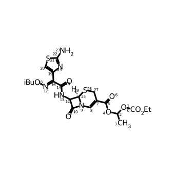 CCOC(=O)OC(C)OC(=O)C1=CN2C(=O)C(NC(=O)C(=NOCC(C)C)c3csc(N)n3)[C@H]2SC1